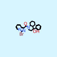 O=C(c1nc(Br)n2ccccc12)N1CCC(O)(c2ccccc2)C2CCCCC21